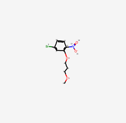 COCCCOc1cc(Br)ccc1[N+](=O)[O-]